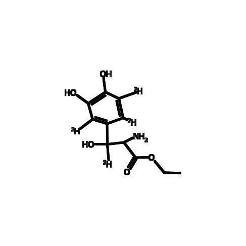 [2H]c1c([2H])c(C([2H])(O)C(N)C(=O)OCC)c([2H])c(O)c1O